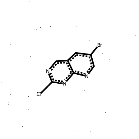 Clc1ncc2cc(Br)cnc2n1